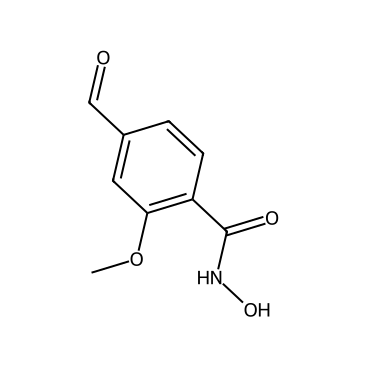 COc1cc(C=O)ccc1C(=O)NO